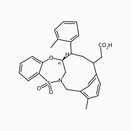 Cc1ccc2cc1CN1C[C@H](Oc3ccccc3S1(=O)=O)C(c1ccccc1C)CC2CC(=O)O